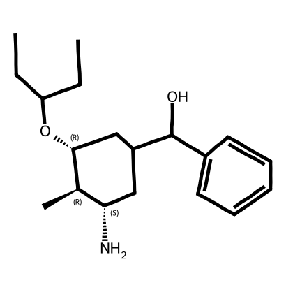 CCC(CC)O[C@@H]1CC(C(O)c2ccccc2)C[C@H](N)[C@H]1C